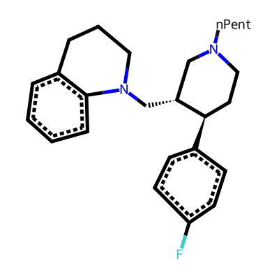 CCCCCN1CC[C@@H](c2ccc(F)cc2)[C@H](CN2CCCc3ccccc32)C1